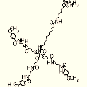 COc1ccc(C(=O)NCCCNC(=O)CCOCC(COCCC(=O)NCCCNC(=O)c2ccc(OC)cc2)(COCCC(=O)NCCCNC(=O)c2ccc(OC)cc2)NC(=O)CCCCCCCCCCC(=O)NCCCCCCOP(=O)(O)OC)cc1